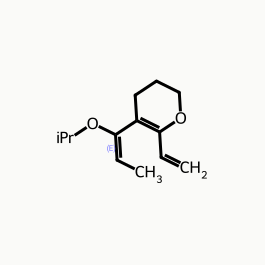 C=CC1=C(/C(=C\C)OC(C)C)CCCO1